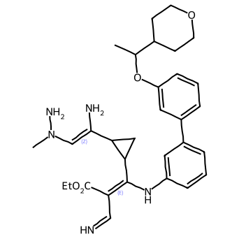 CCOC(=O)/C(C=N)=C(/Nc1cccc(-c2cccc(OC(C)C3CCOCC3)c2)c1)C1CC1/C(N)=C/N(C)N